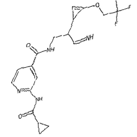 N=CC(CNC(=O)c1ccnc(NC(=O)C2CC2)c1)C1C=C1OCC(F)(F)I